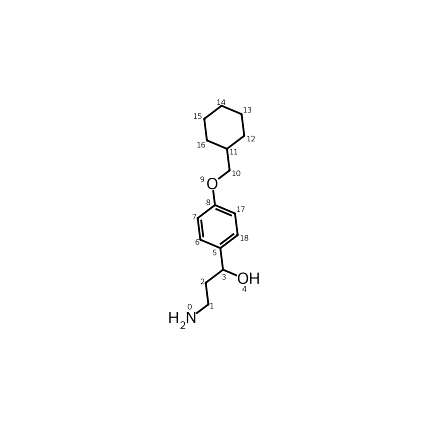 NCCC(O)c1ccc(OCC2CCCCC2)cc1